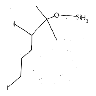 CC(C)(O[SiH3])C(I)CCCI